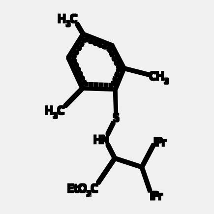 CCOC(=O)C(NSc1c(C)cc(C)cc1C)C(C(C)C)C(C)C